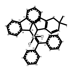 CC1(C)C=CC2=C(C=C[CH]2[Zr]([Cl])([Cl])(=[C](c2ccccc2)c2ccccc2)[CH]2c3ccccc3-c3ccccc32)C1